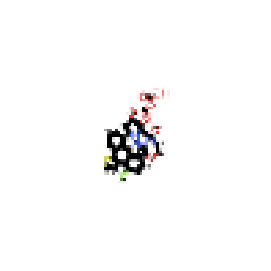 O=C(O)OCOc1c2n(ccc1=O)N([C@H]1c3ccccc3-c3sccc3-c3c(F)cccc31)[C@@H]1COCCN1C2=O